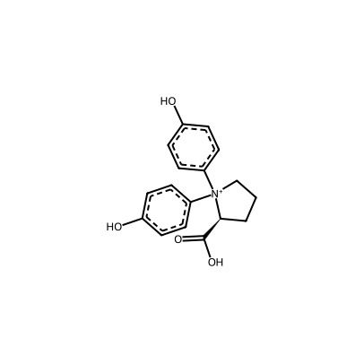 O=C(O)[C@@H]1CCC[N+]1(c1ccc(O)cc1)c1ccc(O)cc1